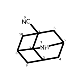 N#CC12CC3CC(C1)NC(C3)C2